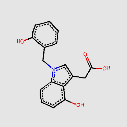 O=C(O)Cc1cn(Cc2ccccc2O)c2cccc(O)c12